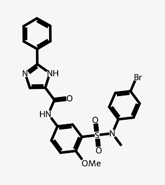 COc1ccc(NC(=O)c2cnc(-c3ccccc3)[nH]2)cc1S(=O)(=O)N(C)c1ccc(Br)cc1